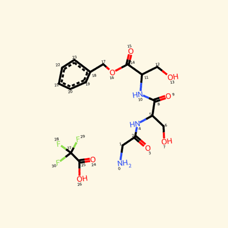 NCC(=O)NC(CO)C(=O)NC(CO)C(=O)OCc1ccccc1.O=C(O)C(F)(F)F